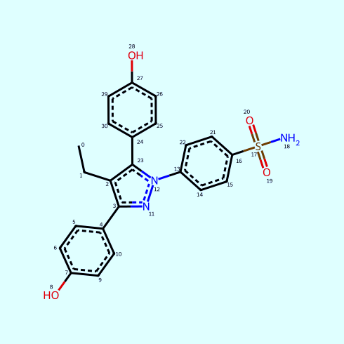 CCc1c(-c2ccc(O)cc2)nn(-c2ccc(S(N)(=O)=O)cc2)c1-c1ccc(O)cc1